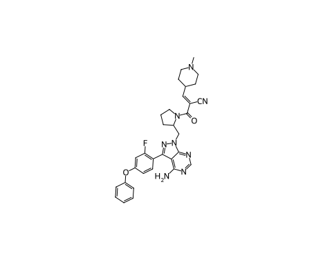 CN1CCC(C=C(C#N)C(=O)N2CCCC2Cn2nc(-c3ccc(Oc4ccccc4)cc3F)c3c(N)ncnc32)CC1